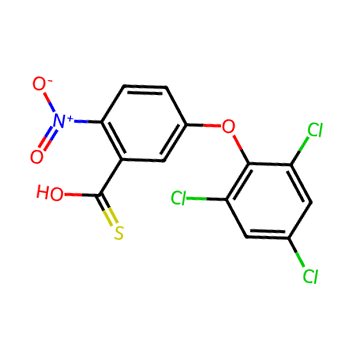 O=[N+]([O-])c1ccc(Oc2c(Cl)cc(Cl)cc2Cl)cc1C(O)=S